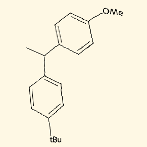 COc1ccc(C(C)c2ccc(C(C)(C)C)cc2)cc1